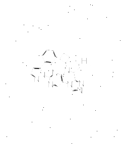 CCC1c2nncn2-c2cnc(-n3nccc3-c3ccccc3)nc2N1C1CCC1